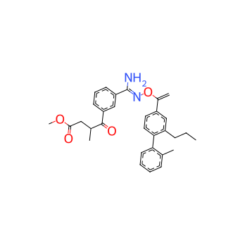 C=C(O/N=C(\N)c1cccc(C(=O)C(C)CC(=O)OC)c1)c1ccc(-c2ccccc2C)c(CCC)c1